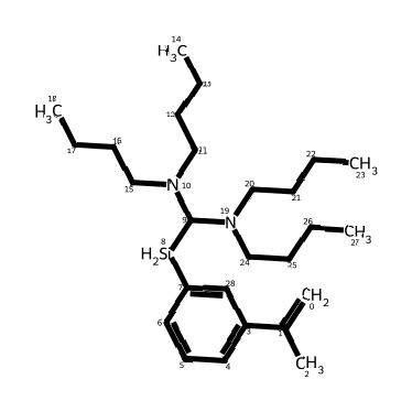 C=C(C)c1cccc([SiH2]C(N(CCCC)CCCC)N(CCCC)CCCC)c1